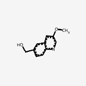 COc1cnc2ccc(CO)cc2c1